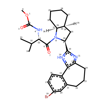 COC(=O)N[C@H](C(=O)N1[C@H](c2nc3c([nH]2)-c2ccc(Br)cc2CCC3)C[C@@H]2CCCC[C@@H]21)C(C)C